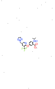 COC(=O)c1cc(Oc2ncc(Cn3nccn3)cc2C(F)(F)F)ccc1NC(C)C